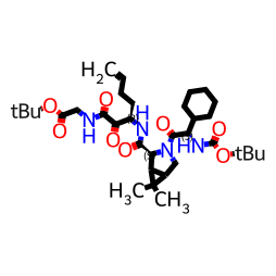 C=CCC[C@@H](NC(=O)[C@@H]1C2C(CN1C(=O)[C@@H](NC(=O)OC(C)(C)C)C1CCCCC1)C2(C)C)C(=O)C(=O)NCC(=O)OC(C)(C)C